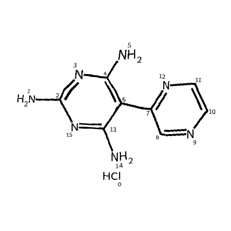 Cl.Nc1nc(N)c(-c2cnccn2)c(N)n1